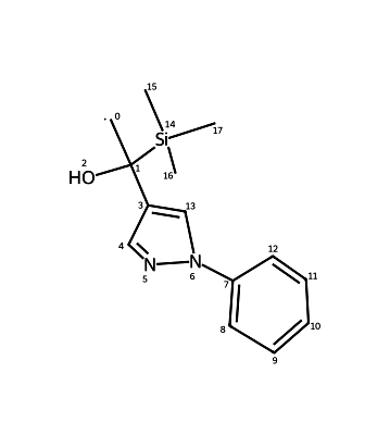 [CH2]C(O)(c1cnn(-c2ccccc2)c1)[Si](C)(C)C